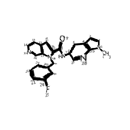 Cn1ccc2cc(NC(=O)c3cc4ccncc4n3Cc3cccc(F)c3)cnc21